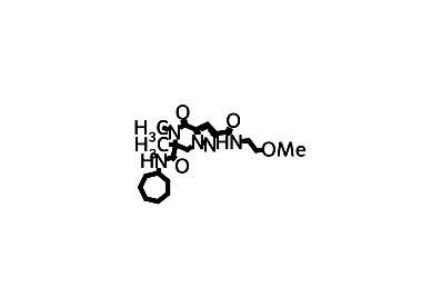 COCCNC(=O)c1cc2n(n1)CC(C)(C(=O)NC1CCCCCC1)N(C)C2=O